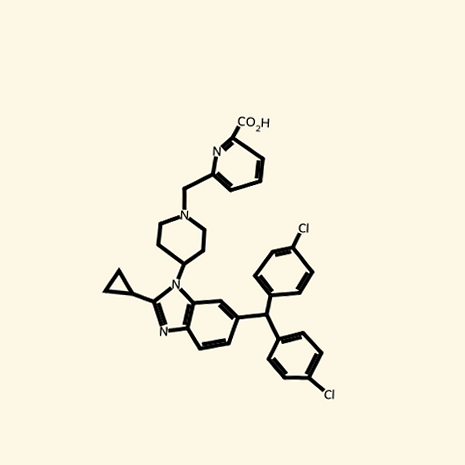 O=C(O)c1cccc(CN2CCC(n3c(C4CC4)nc4ccc(C(c5ccc(Cl)cc5)c5ccc(Cl)cc5)cc43)CC2)n1